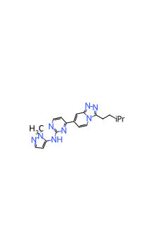 CC(C)CCc1nnc2cc(-c3ccnc(Nc4ccnn4C)n3)ccn12